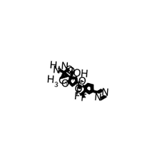 CO[C@H]1C[C@@H](S(=O)(=O)c2ccc(-c3cnccn3)cc2C(F)(F)F)C[C@]1(C(=O)O)C1CC1(C#N)C(N)=O